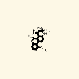 COc1cccc2c1-c1ccc3c(c1C(C)O2)C(C)=CC(C)(C)N3